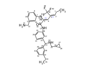 CC/C=C(/C=C(\Nc1cccc(CN)c1)C(=O)Nc1cccc(C(NCC2CC2)c2cccc(CC)c2)c1)C(F)(F)F